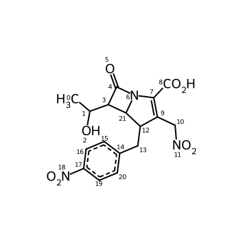 CC(O)C1C(=O)N2C(C(=O)O)=C(C[N+](=O)[O-])C(Cc3ccc([N+](=O)[O-])cc3)C12